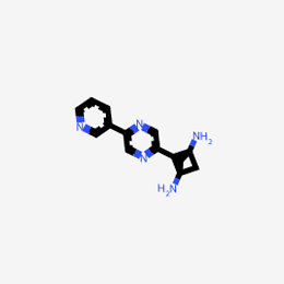 NC12CC(N)(C1)C2c1cnc(-c2cccnc2)cn1